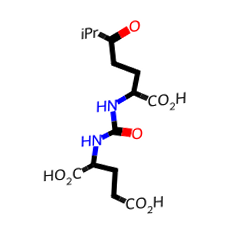 CC(C)C(=O)CCC(NC(=O)NC(CCC(=O)O)C(=O)O)C(=O)O